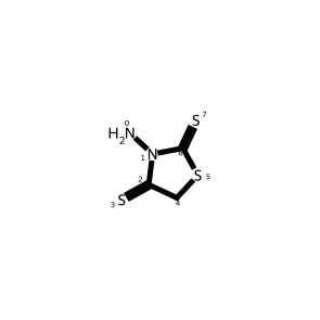 NN1C(=S)CSC1=S